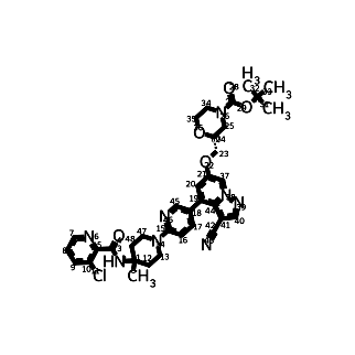 CC1(NC(=O)c2ncccc2Cl)CCN(c2ccc(-c3cc(OC[C@H]4CN(C(=O)OC(C)(C)C)CCO4)cn4ncc(C#N)c34)cn2)CC1